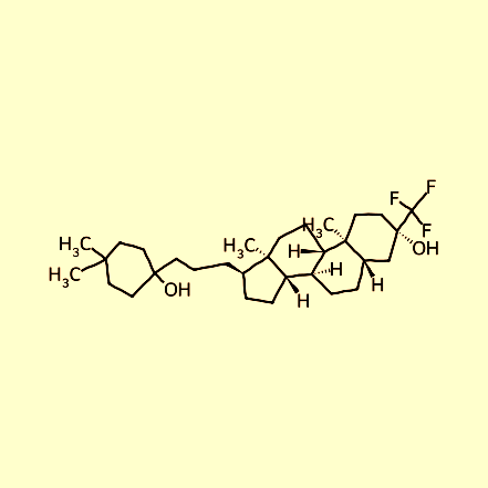 CC1(C)CCC(O)(CCC[C@@H]2CC[C@H]3[C@@H]4CC[C@H]5C[C@](O)(C(F)(F)F)CC[C@]5(C)[C@H]4CC[C@]23C)CC1